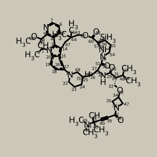 CCn1c(-c2cccnc2[C@H](C)OC)c2c3cc(ccc31)N1CCC[C@@H](C[C@H](NC(=O)[C@@H](COC3CN(C(=O)C#CC(C)(C)N(C)C)C3)C(C)C)C(=O)N3CCC[C@@]([SiH3])(N3)C(=O)OCC(C)(C)C2)C1